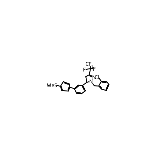 CSc1ccc(-c2cccc(C3CC(C(F)(F)C(F)(F)F)=NN3Cc3ccccc3Cl)c2)cc1